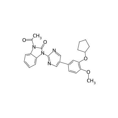 COc1ccc(-c2cnc(-n3c(=O)n(C(C)=O)c4ccccc43)nc2)cc1OC1CCCC1